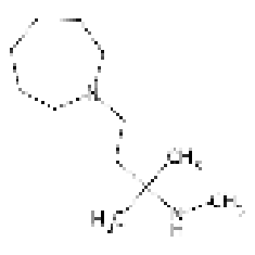 CNC(C)(C)CCN1CCCCCC1